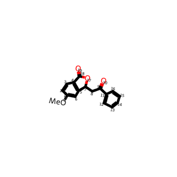 COc1ccc2c(c1)C(CC(=O)c1ccccc1)OC2=O